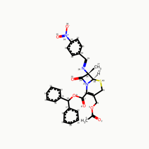 CC(=O)OCC1=C(C(=O)OC(c2ccccc2)c2ccccc2)N2C(=O)[C@](C)(N=Cc3ccc([N+](=O)[O-])cc3)[C@H]2SC1